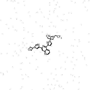 N#CCC1(n2ccc(-c3nc(-c4cn(C5COC5)cn4)cc4ncccc34)n2)CN(CC(F)(F)F)C1